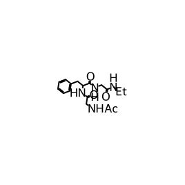 CCNC(=O)CNC(=O)C(Cc1ccccc1)NC(=O)CNC(C)=O